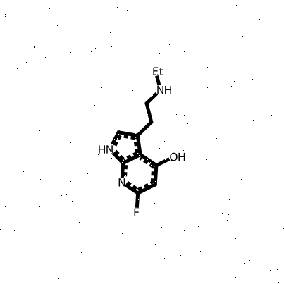 CCNCCc1c[nH]c2nc(F)cc(O)c12